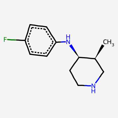 C[C@H]1CNCC[C@H]1Nc1ccc(F)cc1